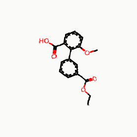 CCOC(=O)c1cccc(-c2c(OC)cccc2C(=O)O)c1